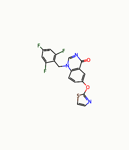 O=c1ncn(Cc2c(F)cc(F)cc2F)c2ccc(Oc3nccs3)cc12